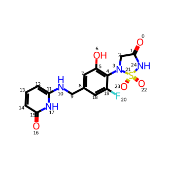 O=C1CN(c2c(O)cc(CNc3cccc(=O)[nH]3)cc2F)S(=O)(=O)N1